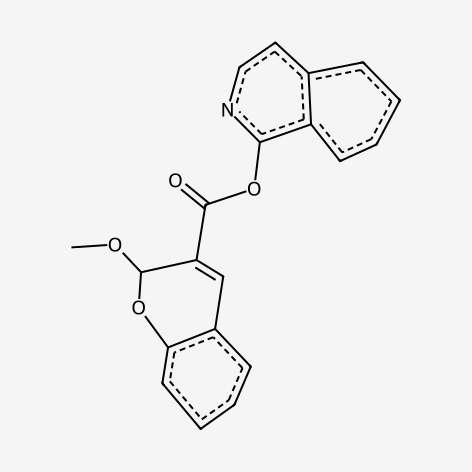 COC1Oc2ccccc2C=C1C(=O)Oc1nccc2ccccc12